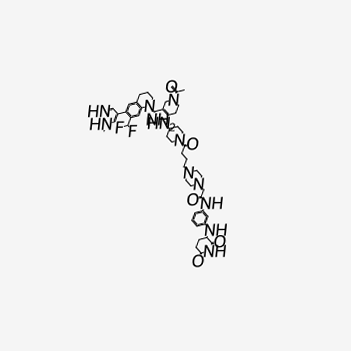 CN/C=C(\C=N)c1cc2c(cc1C(F)F)N(C(N)C1=C(NC3CCN(C(=O)CCCN4CCN(CC(=O)Nc5cccc(NC6CCC(=O)NC6=O)c5)CC4)CC3)CCN(C(C)=O)C1)CCC2